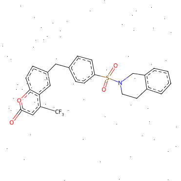 O=c1cc(C(F)(F)F)c2cc(Cc3ccc(S(=O)(=O)N4CCc5ccccc5C4)cc3)ccc2o1